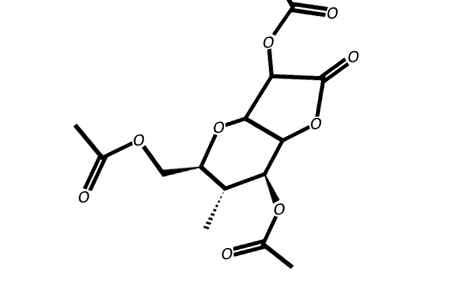 CC(=O)OC[C@H]1OC2C(OC(C)=O)C(=O)OC2[C@@H](OC(C)=O)[C@@H]1C